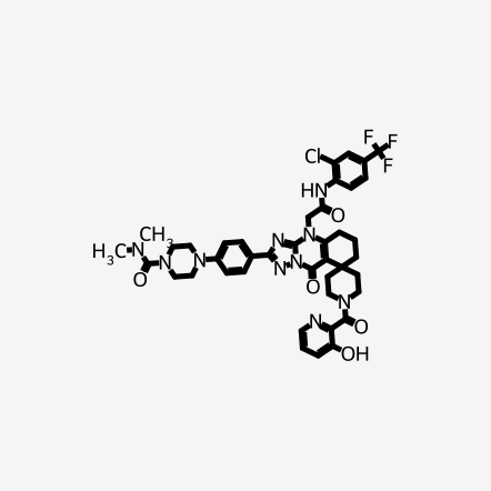 CN(C)C(=O)N1CCN(c2ccc(-c3nc4n(CC(=O)Nc5ccc(C(F)(F)F)cc5Cl)c5c(c(=O)n4n3)C3(CCC5)CCN(C(=O)c4ncccc4O)CC3)cc2)CC1